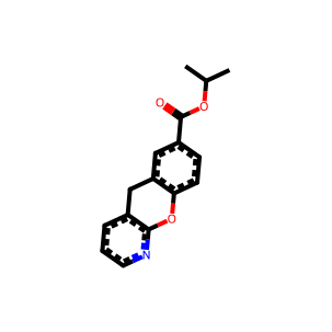 CC(C)OC(=O)c1ccc2c(c1)Cc1cccnc1O2